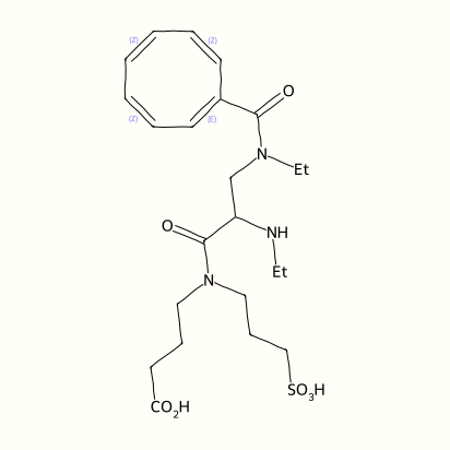 CCNC(CN(CC)C(=O)C1=C/C=C\C=C/C=C\1)C(=O)N(CCCC(=O)O)CCCS(=O)(=O)O